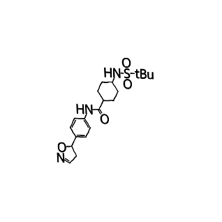 CC(C)(C)S(=O)(=O)NC1CCC(C(=O)Nc2ccc(C3CC=NO3)cc2)CC1